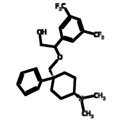 CN(C)[C@H]1CC[C@@](COC(CO)c2cc(C(F)(F)F)cc(C(F)(F)F)c2)(c2ccccc2)CC1